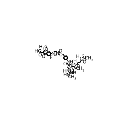 CCn1cc(C(=O)O)c(=O)c2cc(F)c(N3CCN(C(=O)OCc4ccc(NC(=O)[C@H](CCNC(=N)NC)NC(=O)[C@@H](NC(=O)CCCC(=O)N(C)C)C(C)C)cc4)CC3)cc21